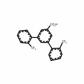 O=C(O)c1cc(-c2ccccc2C(F)(F)F)cc(-c2ccccc2C(F)(F)F)c1